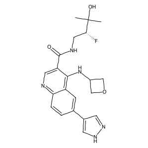 CC(C)(O)[C@H](F)CNC(=O)c1cnc2ccc(-c3cn[nH]c3)cc2c1NC1COC1